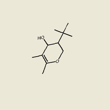 CC1=C(C)C(O)C(C(C)(C)C)CO1